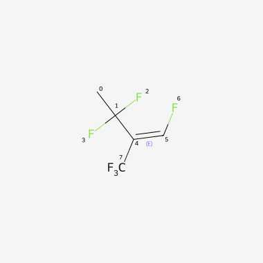 CC(F)(F)/C(=C\F)C(F)(F)F